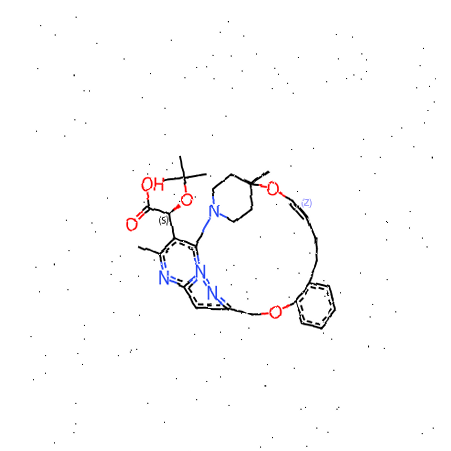 Cc1nc2cc3nn2c(c1[C@H](OC(C)(C)C)C(=O)O)N1CCC(C)(CC1)O/C=C\CCc1ccccc1OC3